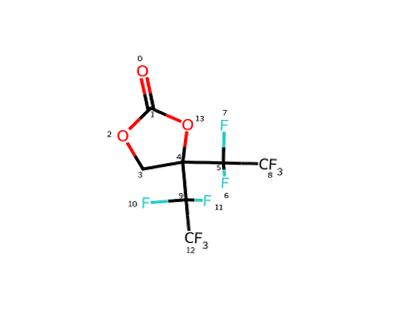 O=C1OCC(C(F)(F)C(F)(F)F)(C(F)(F)C(F)(F)F)O1